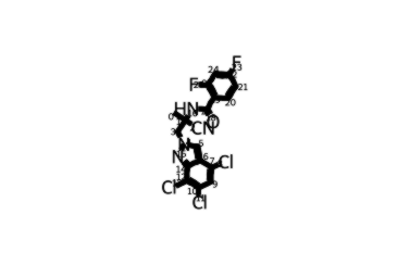 CC(C#N)(Cn1cc2c(Cl)cc(Cl)c(Cl)c2n1)NC(=O)c1ccc(F)cc1F